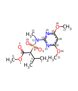 COC(=O)C(C(C)C)S(=O)(=O)N(C)c1nc(OC)cc(OC)n1